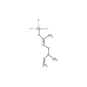 C=CC(C)C/C=C(\C)CC(F)(F)I